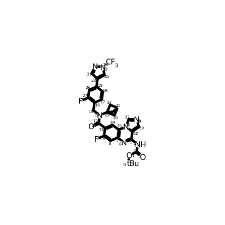 CC(C)(C)OC(=O)Nc1nc2cc(F)c(C(=O)N(Cc3ccc(-c4cnn(C(F)(F)F)c4)cc3F)C34CC(C3)C4)cc2n2cncc12